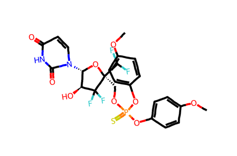 COc1ccc(OP(=S)(OC[C@@]2(C(F)F)O[C@@H](n3ccc(=O)[nH]c3=O)[C@H](O)C2(F)F)Oc2ccc(OC)cc2)cc1